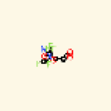 COC(=O)Cc1cccc(-c2coc(-c3cc(C(F)(F)F)c(C#N)c(=O)n3Cc3ccc(F)cc3F)c2)c1